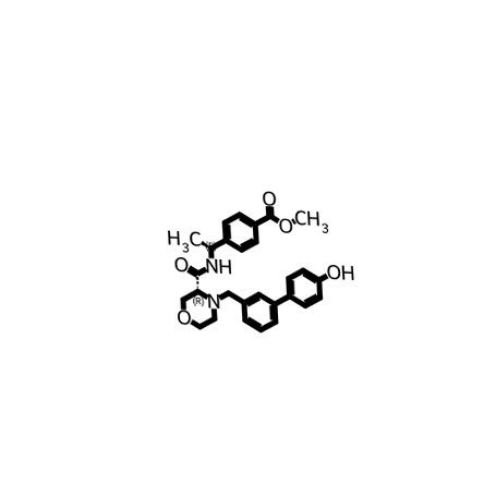 COC(=O)c1ccc([C@H](C)NC(=O)[C@H]2COCCN2Cc2cccc(-c3ccc(O)cc3)c2)cc1